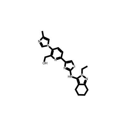 CCn1nc2c(c1Nc1nc(-c3ccc(-n4cnc(C)c4)c(CO)n3)cs1)CCCC2